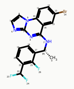 C[C@@H](Nc1nc2nccn2c2ccc(Br)cc12)c1cccc(C(F)F)c1F